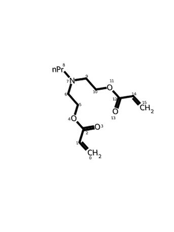 C=CC(=O)OCCN(CCC)CCOC(=O)C=C